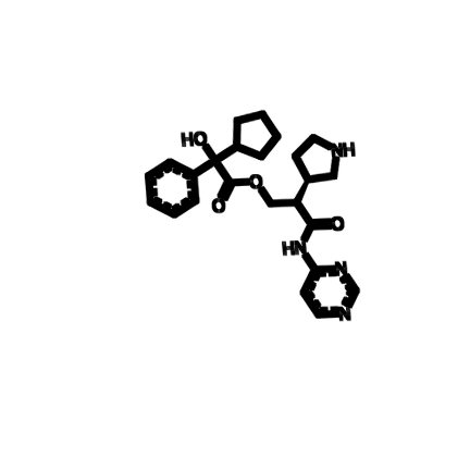 O=C(Nc1ccncn1)C(COC(=O)C(O)(c1ccccc1)C1CCCC1)[C@H]1CCNC1